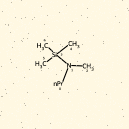 [CH2]CCN(C)[Si](C)(C)C